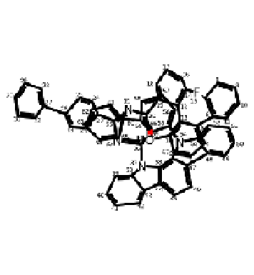 Oc1cccc(-c2ccccc2)c1-c1c(F)cccc1-c1nc(-c2ccc(-c3ccccc3)cc2)nc(-n2c3ccccc3c3ccc4c5ccccc5n(-c5cccc(-c6ccccc6)c5)c4c32)n1